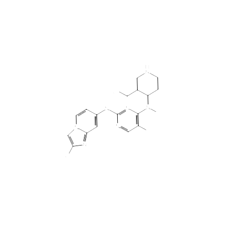 CCC1CNCCC1N(C)c1nc(Nc2ccn3cc(C)nc3c2)ncc1Cl